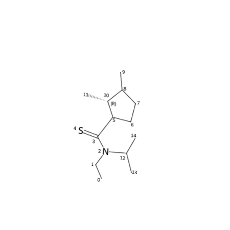 CCN(C(=S)C1CCC(C)[C@H]1C)C(C)C